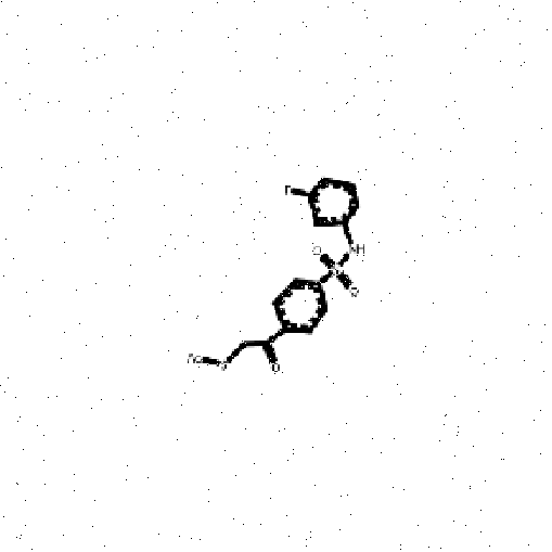 CC(=O)SCC(=O)c1ccc(S(=O)(=O)Nc2cccc(F)c2)cc1